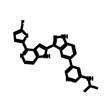 CC(C)Nc1cncc(-c2ccc3[nH]nc(-c4cc5c(-c6ccc(F)s6)nccc5[nH]4)c3c2)c1